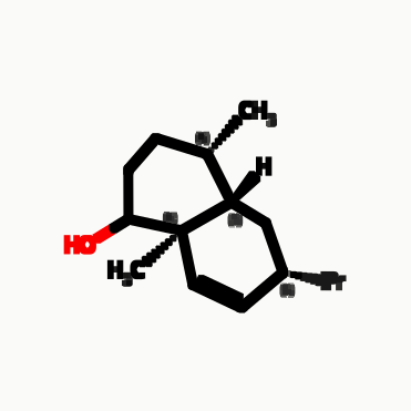 CC(C)[C@@H]1C=C[C@@]2(C)C(O)CC[C@H](C)[C@@H]2C1